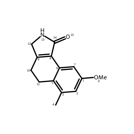 COc1cc(C)c2c(c1)C1=C(CC2)CNC1=O